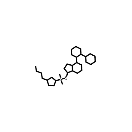 CCCCC1CCC(S(C)(C)SC2CCC3C2CCCC3C2CCCCC2C2CCCCC2)C1